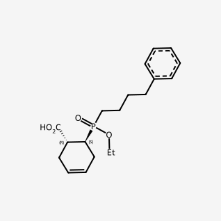 CCOP(=O)(CCCCc1ccccc1)[C@H]1CC=CC[C@@H]1C(=O)O